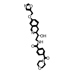 O=C(NC[C@@H](O)C1Cc2ccc(OCc3cnco3)cc2C=N1)c1ccc(C(=O)N2CCOCC2)cc1